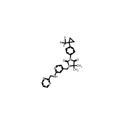 CC1(C)C(=O)N(c2ccc(C3(C(F)(F)F)CC3)cc2)C(=O)N1Cc1ccnc(NCc2ncccn2)c1